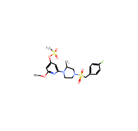 CC(C)(C)Oc1cc(OS(=O)(=O)C(F)(F)F)cc(N2CCN(S(=O)(=O)Cc3ccc(F)cc3)CC2C(F)(F)F)n1